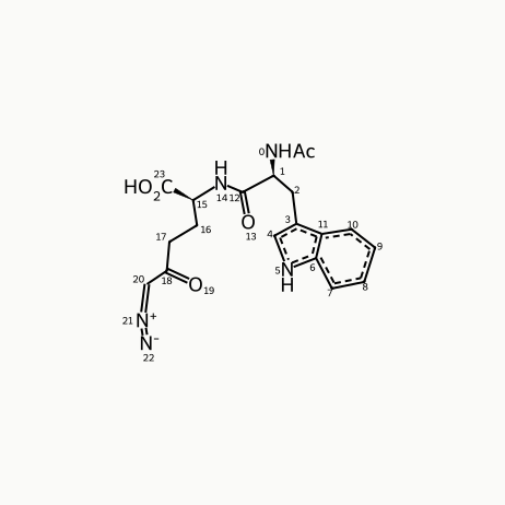 CC(=O)N[C@@H](Cc1c[nH]c2ccccc12)C(=O)N[C@@H](CCC(=O)C=[N+]=[N-])C(=O)O